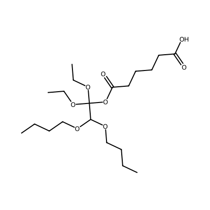 CCCCOC(OCCCC)C(OCC)(OCC)OC(=O)CCCCC(=O)O